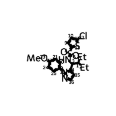 CCC(CC)C(NS(=O)(=O)c1ccc(Cl)s1)c1ccnn1-c1ccc(OC)cc1